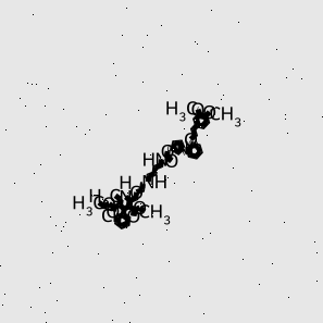 CCOC(=O)C1=C(C)NC(COCCNCCCCNC(=O)O[C@@H]2CCN([C@@H]3CCCC[C@H]3OCCc3ccc(OC)c(OC)c3)C2)=C(C(=O)OC)C1c1ccccc1Cl